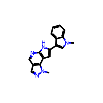 Cn1cc(-c2cc3c(ncc4cnn(C)c43)[nH]2)c2ccccc21